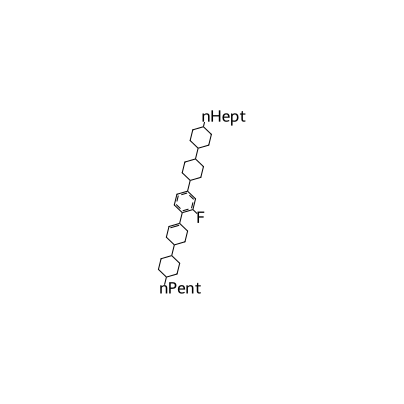 CCCCCCCC1CCC(C2CCC(c3ccc(C4=CCC(C5CCC(CCCCC)CC5)CC4)c(F)c3)CC2)CC1